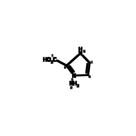 N.O=C(O)c1ncc[nH]1